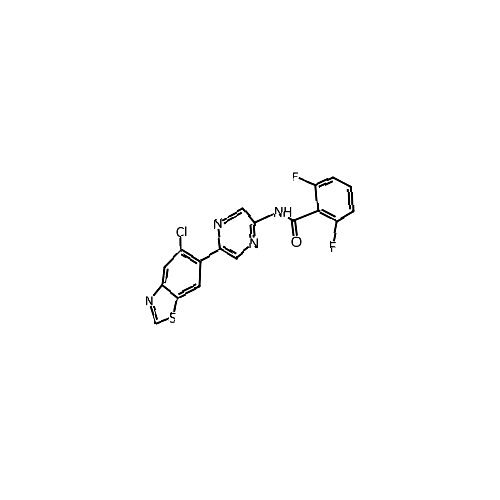 O=C(Nc1cnc(-c2cc3scnc3cc2Cl)cn1)c1c(F)cccc1F